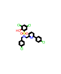 O=S(=O)(c1cc(Cl)cc(Cl)c1O)N(Cc1ccc(Cl)cc1)Cc1cccc(-c2ccc(Cl)cc2)n1